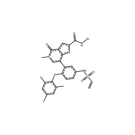 C=CS(=O)(=O)Nc1ccc(Oc2c(C)cc(F)cc2C)c(-c2cn(C)c(=O)c3cc(C(=O)NCC)sc23)c1